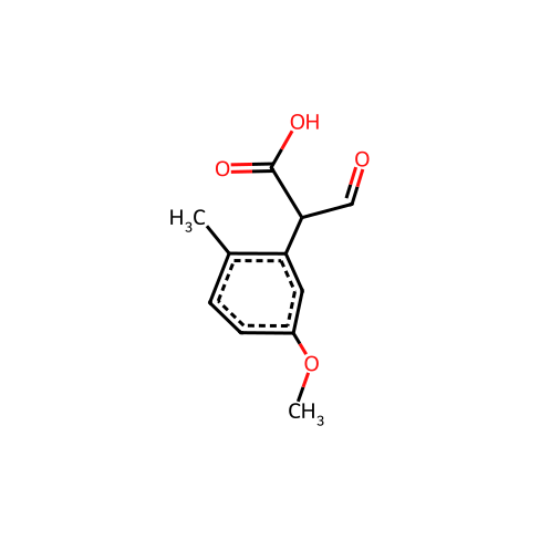 COc1ccc(C)c(C(C=O)C(=O)O)c1